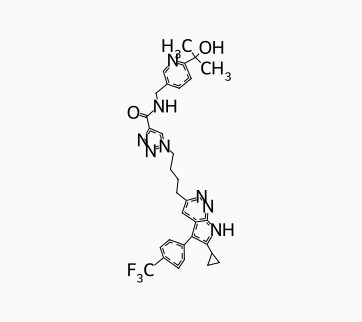 CC(C)(O)c1ccc(CNC(=O)c2cn(CCCCc3cc4c(-c5ccc(C(F)(F)F)cc5)c(C5CC5)[nH]c4nn3)nn2)cn1